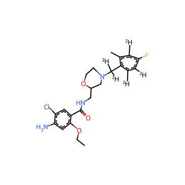 [2H]c1c([2H])c(C([2H])([2H])N2CCOC(CNC(=O)c3cc(Cl)c(N)cc3OCC)C2)c(C)c([2H])c1F